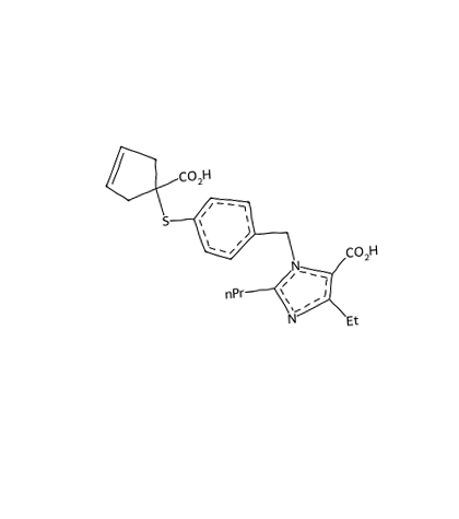 CCCc1nc(CC)c(C(=O)O)n1Cc1ccc(SC2(C(=O)O)CC=CC2)cc1